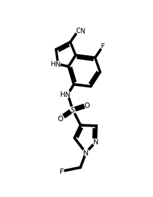 N#Cc1c[nH]c2c(NS(=O)(=O)c3cnn(CF)c3)ccc(F)c12